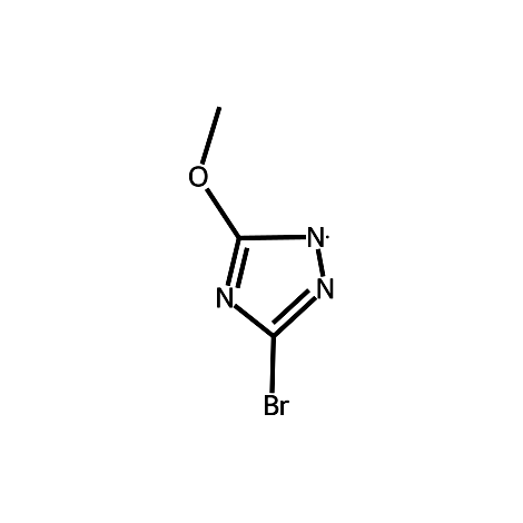 COC1=NC(Br)=N[N]1